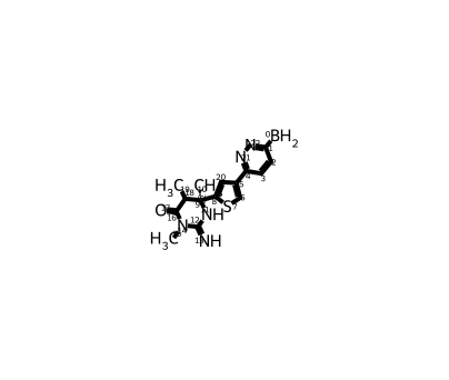 Bc1ccc(-c2csc([C@@]3(C)NC(=N)N(C)C(=O)C3C)c2)nn1